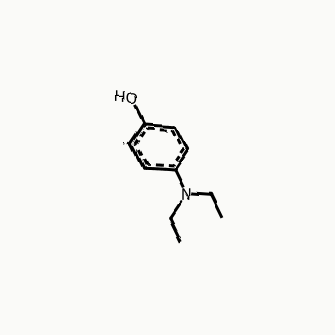 CCN(CC)c1c[c]c(O)cc1